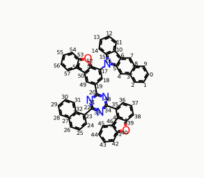 c1ccc2cc3c(cc2c1)c1ccccc1n3-c1cc(-c2nc(-c3cccc4ccccc34)nc(-c3cccc4oc5ccccc5c34)n2)cc2c1oc1ccccc12